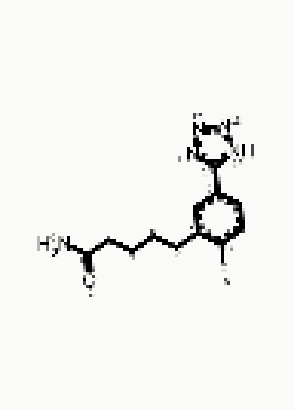 NC(=O)CCCCc1cc(-c2nnn[nH]2)ccc1F